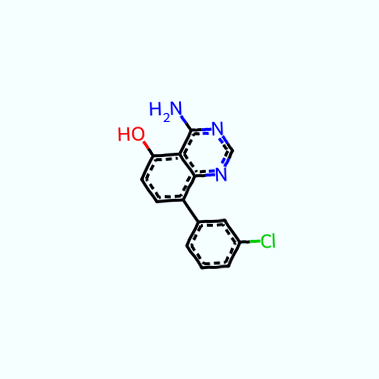 Nc1ncnc2c(-c3cccc(Cl)c3)ccc(O)c12